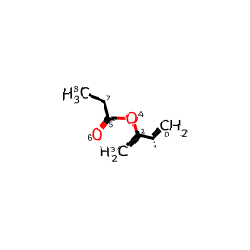 C=CC(=C)OC(=O)CC